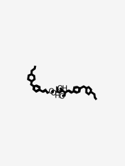 CCCC1CCC(Cc2ccc(C=CC3CO[C@@H]4[C@@H](OOC/C=C/c5ccc(CC6CCC(CCC)CC6)cc5)CO[C@H]34)cc2)CC1